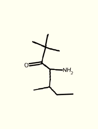 CCC(C)C(N)C(=O)C(C)(C)C